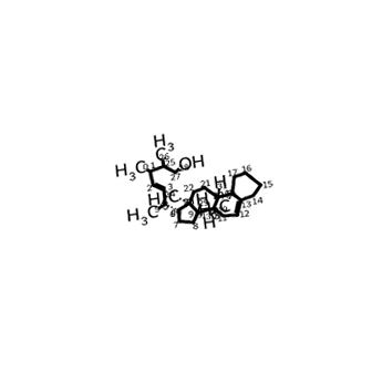 CC(C=CC(C)[C@H]1CC[C@H]2[C@@H]3CC=C4CCCC[C@]4(C)[C@H]3CC[C@]12C)C(C)CO